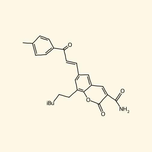 CCC(C)CCc1cc(/C=C/C(=O)c2ccc(C)cc2)cc2cc(C(N)=O)c(=O)oc12